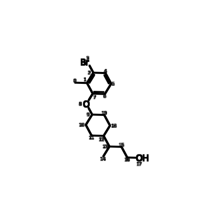 Cc1c(Br)cccc1OC1CCC(C(C)CCO)CC1